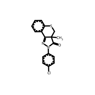 CC12CSc3ccccc3C1=NN(c1ccc(Cl)cc1)C2=O